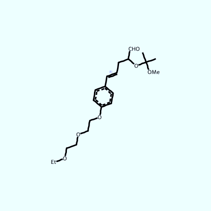 CCOCCOCCOc1ccc(/C=C/CC(C=O)OC(C)(C)OC)cc1